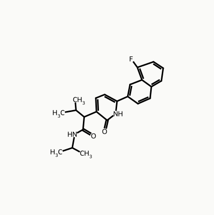 CC(C)NC(=O)C(c1ccc(-c2ccc3cccc(F)c3c2)[nH]c1=O)C(C)C